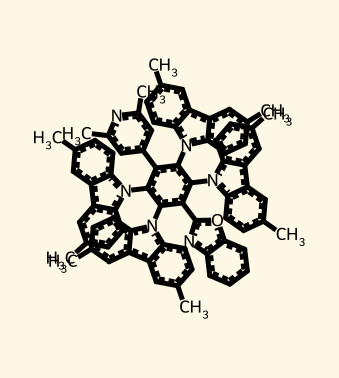 Cc1ccc2c(c1)c1cc(C)ccc1n2-c1c(-c2cc(C)nc(C)c2)c(-n2c3ccc(C)cc3c3cc(C)ccc32)c(-n2c3ccc(C)cc3c3cc(C)ccc32)c(-c2nc3ccccc3o2)c1-n1c2ccc(C)cc2c2cc(C)ccc21